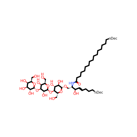 CCCCCCCCCCCCC/C=C/[C@@H](O)[C@H](CO[C@@H]1O[C@H](CO)[C@@H](O[C@@H]2O[C@H](CO)[C@H](O)[C@H](O[C@H]3O[C@H](CO)[C@H](O)[C@H](O)[C@H]3O)[C@H]2O)[C@H](O)[C@H]1O)NC(=O)CCCCCCCCCCCCCCCCCCCCCCCCC